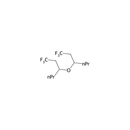 CCCC(CC(F)(F)F)OC(CCC)CC(F)(F)F